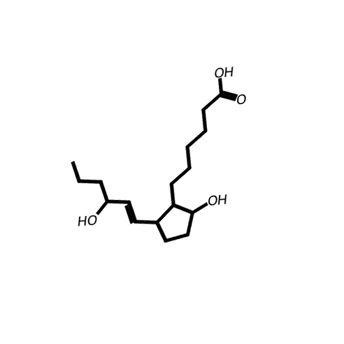 CCCC(O)/C=C/C1CCC(O)C1CCCCCC(=O)O